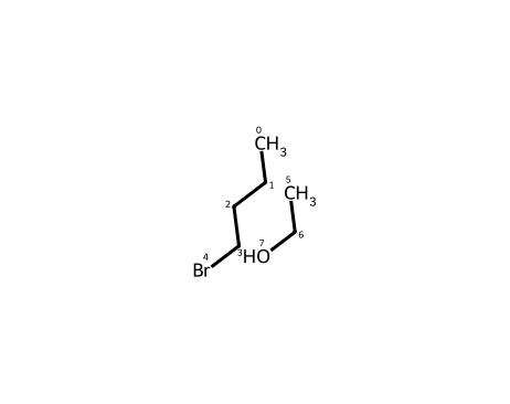 CCCCBr.CCO